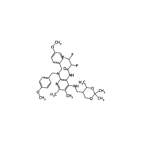 COc1ccc(CN(Cc2ccc(OC)cc2)c2nc(C)c(C)c(NCC3COC(C)(C)OC3C)c2NC(=O)C(F)C(F)F)cc1